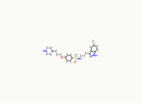 O=S(=O)(NCCCc1n[nH]c2ccc(Cl)cc12)c1ccc(OCCCN2CCNCC2)cc1